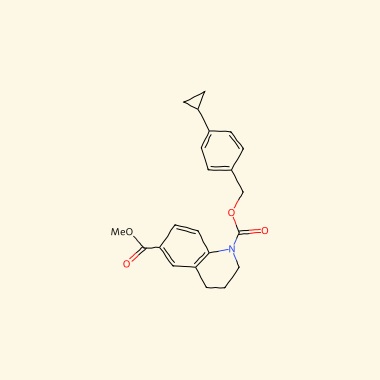 COC(=O)c1ccc2c(c1)CCCN2C(=O)OCc1ccc(C2CC2)cc1